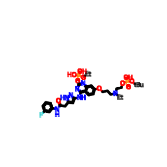 CCN(CCCOc1ccc2c(Nc3cc(CC(=O)Nc4cccc(F)c4)[nH]n3)ncnc2c1)CCOP(=O)(O)OC(C)(C)C.CCOP(=O)(O)O